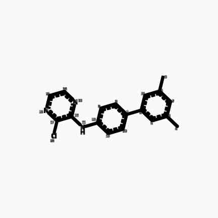 Cc1cc(C)cc(-c2ccc(Nc3nccnc3Cl)cc2)c1